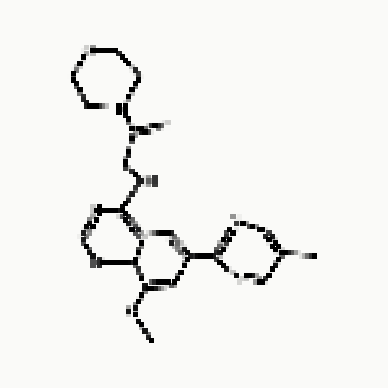 COc1cc(-c2ncc(C)cn2)cc2c(NCC(=O)N3CCOCC3)ncnc12